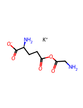 NCC(=O)OC(=O)CC[C@H](N)C(=O)[O-].[K+]